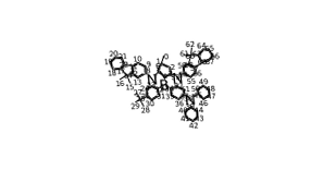 Cc1cc2c3c(c1)N(c1ccc4c(c1)C(C)(C)c1ccccc1-4)c1cc(C(C)(C)C)ccc1B3c1ccc(N(c3ccccc3)c3ccccc3)cc1N2c1ccc2c(c1)C(C)(C)c1ccccc1-2